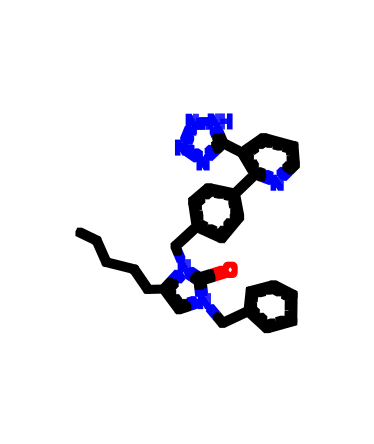 CCCCCc1cn(Cc2ccccc2)c(=O)n1Cc1ccc(-c2ncccc2-c2nnn[nH]2)cc1